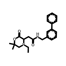 CCN1CC(C)(C)OC(=O)C1CC(=O)NCc1cccc(-c2ccccc2)c1